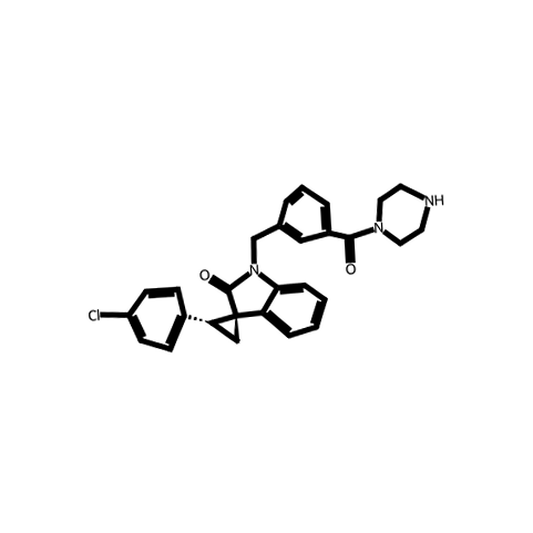 O=C(c1cccc(CN2C(=O)[C@]3(C[C@@H]3c3ccc(Cl)cc3)c3ccccc32)c1)N1CCNCC1